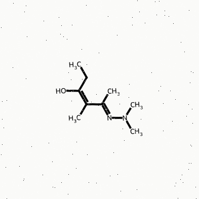 CC/C(O)=C(C)\C(C)=N\N(C)C